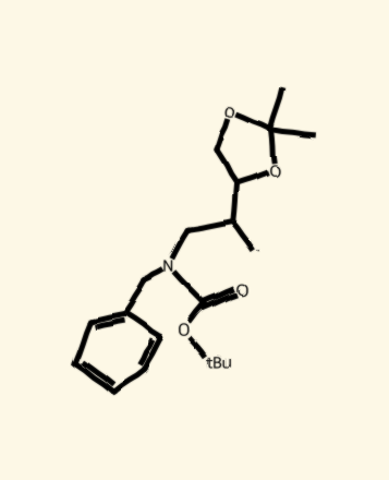 [CH2]C(CN(Cc1ccccc1)C(=O)OC(C)(C)C)C1COC(C)(C)O1